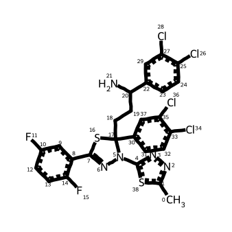 Cc1nnc(N2N=C(c3cc(F)ccc3F)SC2(CCC(N)c2ccc(Cl)c(Cl)c2)c2ccc(Cl)c(Cl)c2)s1